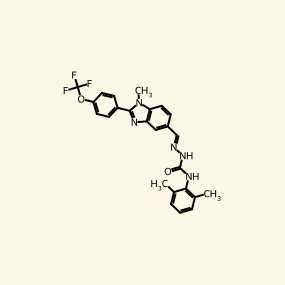 Cc1cccc(C)c1NC(=O)NN=Cc1ccc2c(c1)nc(-c1ccc(OC(F)(F)F)cc1)n2C